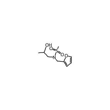 CC(O)CN(Cc1ccco1)S(C)(=O)=O